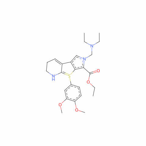 CCOC(=O)c1c2c(cn1CN(CC)CC)C1=CCCNC1=S2c1ccc(OC)c(OC)c1